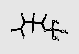 C[Si](C)(C)OC(F)C(F)(F)C(F)C(F)F